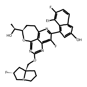 CCc1c(F)ccc2cc(O)cc(-c3nc4c5c(nc(OC[C@@]67CCCN6C[C@H](F)C7)nc5c3F)O[C@@H]([C@H](C)O)CC4)c12